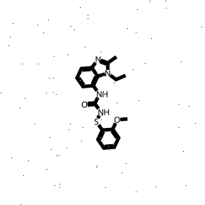 CCn1c(C)nc2cccc(NC(=O)NSc3ccccc3OC)c21